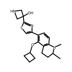 CC1CCc2c(ccc(-c3csc(C4(O)CNC4)n3)c2OC2CCC2)N1C